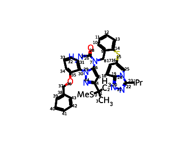 CSC(C)(C)c1cc(N(Cc2ccccc2Sc2ccc3nnc(C(C)C)n3c2)C(N)=O)n(-c2ccccc2OCc2ccccc2)n1